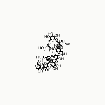 CO[C@@H](O[C@@H]1C(CO)O[C@@H](O[C@@H]2C(CSC[C@@H](N)C(=O)O)O[C@@H](O[C@@H]3C(CO)O[C@H](O[C@@H]4C(CO)O[C@H](O[C@@H]5C(CO)OCC(O)[C@H]5O)[C@@H](O)C4O)[C@@H](O)C3O)[C@@H](O)C2O)[C@@H](O)C1O)[C@@H](O)C(O)CO[C@H]1OC(CSC[C@@H](N)C(=O)O)[C@@H](O)[C@H](O)C1O